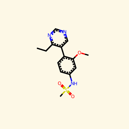 CCc1ncncc1-c1ccc(NS(C)(=O)=O)cc1OC